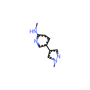 CNc1ccc(-c2cnn(C)c2)cn1